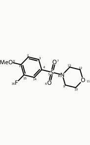 COc1ccc(S(=O)(=O)N2CCOCC2)cc1F